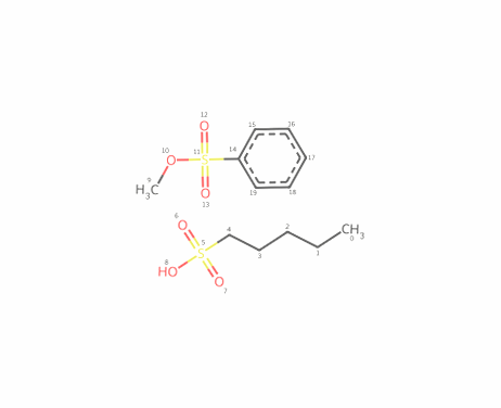 CCCCCS(=O)(=O)O.COS(=O)(=O)c1ccccc1